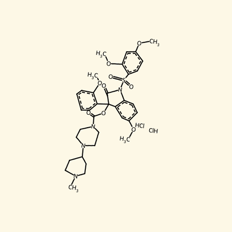 COc1ccc(S(=O)(=O)N2C(=O)C(OC(=O)N3CCN(C4CCN(C)CC4)CC3)(c3ccccc3OC)c3cc(OC)ccc32)c(OC)c1.Cl.Cl